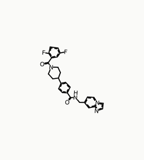 O=C(NCc1ccn2ccnc2c1)c1ccc(C2CCN(C(=O)c3cc(F)ccc3F)CC2)cc1